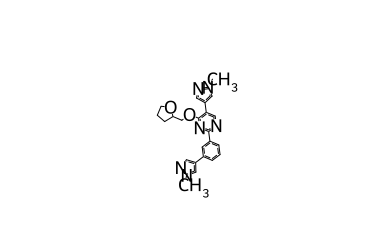 Cn1cc(-c2cccc(-c3ncc(-c4cnn(C)c4)c(OCC4CCCO4)n3)c2)cn1